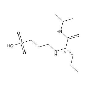 CCC[C@H](NCCCS(=O)(=O)O)C(=O)NC(C)C